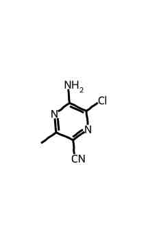 Cc1nc(N)c(Cl)nc1C#N